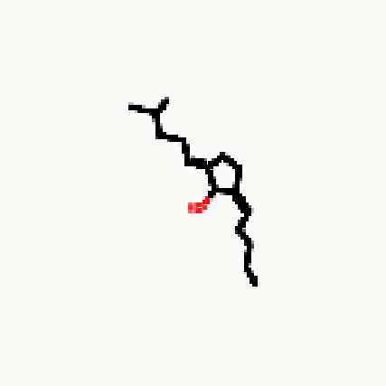 CCCCC=C1CCC(=CCCC(C)C)C1O